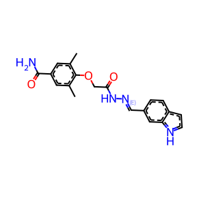 Cc1cc(C(N)=O)cc(C)c1OCC(=O)N/N=C/c1ccc2cc[nH]c2c1